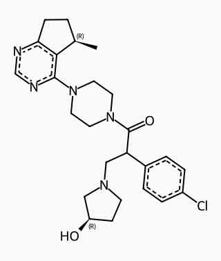 C[C@@H]1CCc2ncnc(N3CCN(C(=O)C(CN4CC[C@@H](O)C4)c4ccc(Cl)cc4)CC3)c21